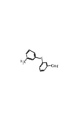 Nc1[c]ccc(Sc2cccc(O)c2)c1